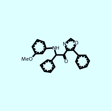 COc1cccc(NC(C(=O)c2ncoc2-c2ccccc2)c2ccccc2)c1